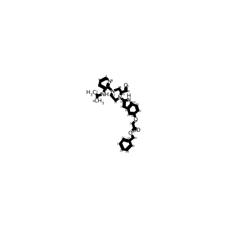 CC(C)Nc1cccnc1N1CCN(c2cc3cc(OCC(=O)OCc4ccccc4)ccc3[nH]2)C(C=O)C1